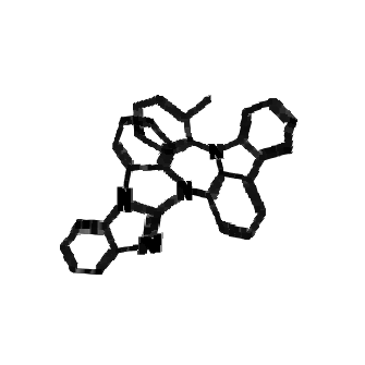 Cc1ccccc1-n1c2ccccc2c2cccc(-n3c4ccccc4n4c5ccccc5nc34)c21